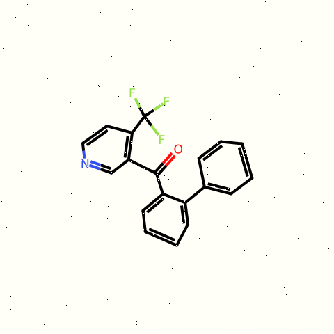 O=C(c1ccccc1-c1ccccc1)c1cnccc1C(F)(F)F